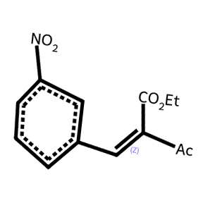 CCOC(=O)/C(=C\c1cccc([N+](=O)[O-])c1)C(C)=O